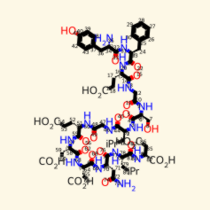 CC(C)C[C@H](NC(=O)[C@H](CO)NC(=O)CNC(=O)[C@H](CCC(=O)O)NC(=O)[C@H](Cc1ccccc1)NC(=O)[C@@H](N)Cc1ccc(O)cc1)C(=O)NCC(=O)N[C@@H](CCC(=O)O)C(=O)N[C@@H](CC(=O)O)C(=O)N[C@@H](CC(=O)O)C(=O)N[C@@H](CC(N)=O)C(=O)N[C@@H](CC(C)C)C(=O)N[C@@H](CC(=O)O)C(=O)O